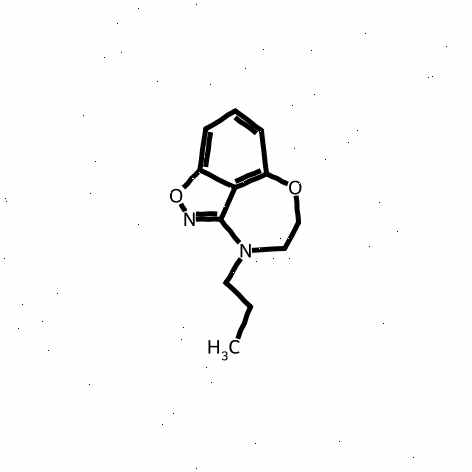 CCCN1CCOc2cccc3onc1c23